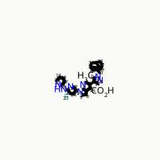 Cc1c(-c2cnc3c(ccn3-c3cnc(Nc4ccccn4)c(F)c3)c2C(=O)O)cnn1CC12CC3CC(CC(C3)C1)C2